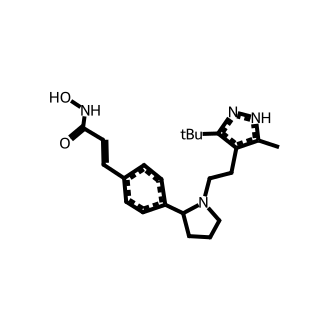 Cc1[nH]nc(C(C)(C)C)c1CCN1CCCC1c1ccc(C=CC(=O)NO)cc1